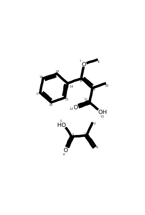 C=C(C)C(=O)O.COC(=C(C)C(=O)O)c1ccccc1